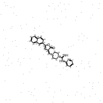 N=C(Nc1ccccn1)N1CCN(/C=C2/N=C(c3ccc4ccccc4c3)OC2=O)CC1